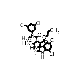 C=CCOC(=O)C1[C@H](C(=O)N(C)c2cc(Cl)cc(Cl)c2)C(C)NC12C(=O)Nc1c(Cl)cc(Cl)cc12